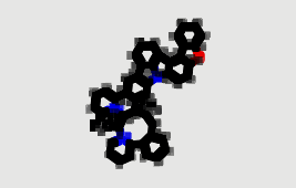 C=C1[n+]2ccccc2-c2ccccc2CCC2(C)c3cc4c(cc3-c3cccc[n+]3C12C)c1cccc2c3c5c(ccc3n4c12)oc1ccccc15